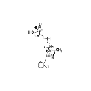 CC(C)(CO)CN(CCNCCc1ccc(O)c2[nH]c(=O)sc12)C(=O)CCNCCc1ccccc1Cl